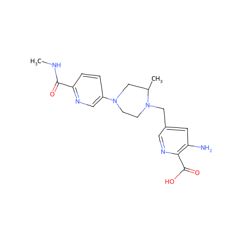 CNC(=O)c1ccc(N2CCN(Cc3cnc(C(=O)O)c(N)c3)C(C)C2)cn1